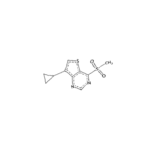 CS(=O)(=O)c1ncnc2c(C3CC3)csc12